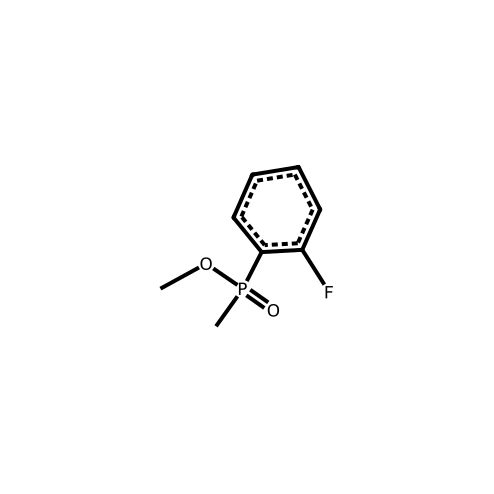 COP(C)(=O)c1ccccc1F